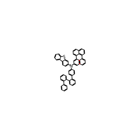 c1ccc(-c2ccccc2-c2ccccc2-c2ccc(N(c3cccc(-c4cccc5cccc(-c6ccccc6)c45)c3)c3ccc4c(c3)sc3ccccc34)cc2)cc1